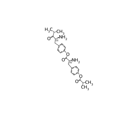 CC(C)C(=O)Oc1ccc(C[C@H](N)C(=O)Oc2ccc(C[C@H](N)C(=O)C(C)C)cc2)cc1